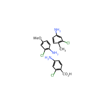 COc1ccc(N)c(Cl)c1.Cc1ccc(N)cc1Cl.Nc1ccc(C(=O)O)c(Cl)c1